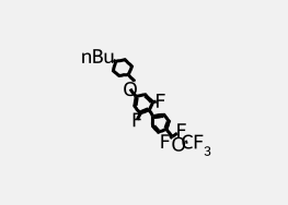 CCCCC1CCC(COc2cc(F)c(-c3ccc(C(F)(F)OC(F)(F)F)cc3)c(F)c2)CC1